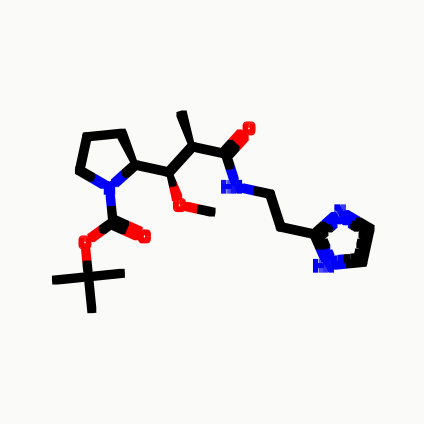 CO[C@H]([C@@H](C)C(=O)NCCc1ncc[nH]1)[C@@H]1CCCN1C(=O)OC(C)(C)C